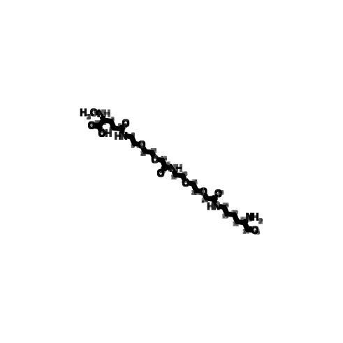 CNC(CCC(=O)NCCOCCOCC(=O)NCCOCCOCC(=O)NCCCCC(N)C=O)C(=O)O